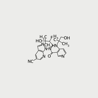 CC(C)(CO)Nc1ccncc1C(=O)N(CC(F)C(C)(C)O)n1ncc2cc(C#N)cnc21